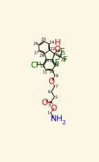 NCOC(=O)CCCOCc1cc(Cl)c2c(c1)[C@@](O)(C(F)(F)F)c1ccccc1-2